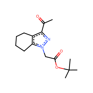 CC(=O)c1nn(CC(=O)OC(C)(C)C)c2c1CCCC2